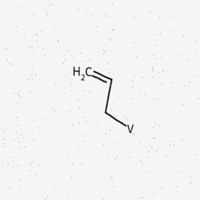 C=C[CH2][V]